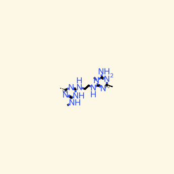 CNC1=N[C@H](C)N=C(NCCNC2=N[C@H](C)N=C(N)N2C)N1